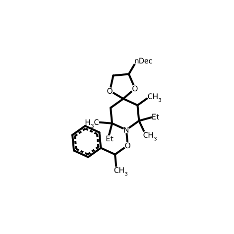 CCCCCCCCCCC1COC2(CC(C)(CC)N(OC(C)c3ccccc3)C(C)(CC)C2C)O1